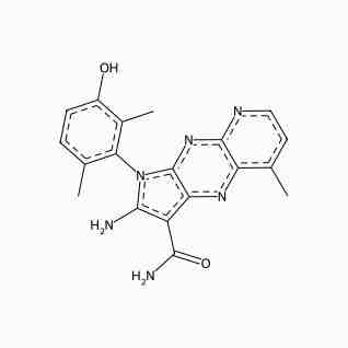 Cc1ccc(O)c(C)c1-n1c(N)c(C(N)=O)c2nc3c(C)ccnc3nc21